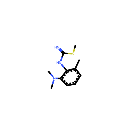 CSC(=N)Nc1c(C)cccc1N(C)C